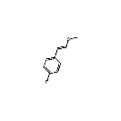 CSC=Cc1ccc(F)cc1